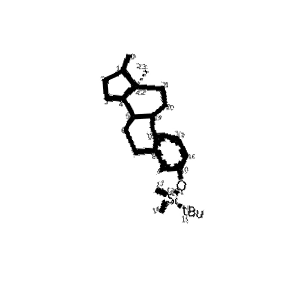 CC1CCC2C3CCc4cc(O[Si](C)(C)C(C)(C)C)ccc4C3CC[C@]12C